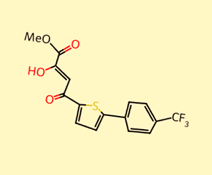 COC(=O)C(O)=CC(=O)c1ccc(-c2ccc(C(F)(F)F)cc2)s1